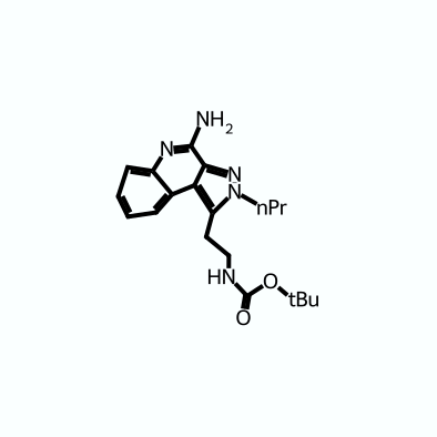 CCCn1nc2c(N)nc3ccccc3c2c1CCNC(=O)OC(C)(C)C